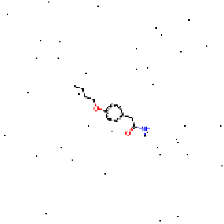 CCCCOc1ccc(CC(=O)NC)cc1